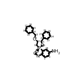 Nc1ccc(N=O)c(P(=O)(CCOCc2ccccc2)OCc2ccccc2)c1